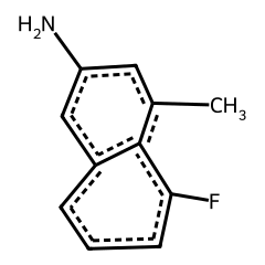 Cc1cc(N)cc2cccc(F)c12